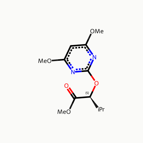 COC(=O)[C@@H](Oc1nc(OC)cc(OC)n1)C(C)C